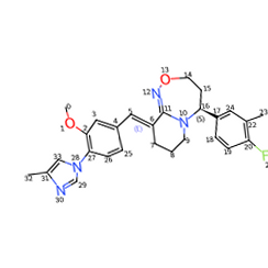 COc1cc(/C=C2\CCCN3C2=NOCC[C@H]3c2ccc(F)c(C)c2)ccc1-n1cnc(C)c1